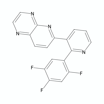 Fc1cc(F)c(-c2ncccc2-c2ccc3nccnc3n2)cc1F